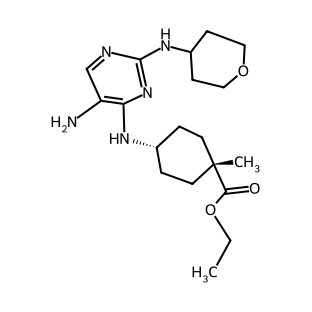 CCOC(=O)[C@]1(C)CC[C@H](Nc2nc(NC3CCOCC3)ncc2N)CC1